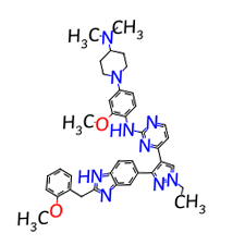 CCn1cc(-c2ccnc(Nc3ccc(N4CCC(N(C)C)CC4)cc3OC)n2)c(-c2ccc3[nH]c(Cc4ccccc4OC)nc3c2)n1